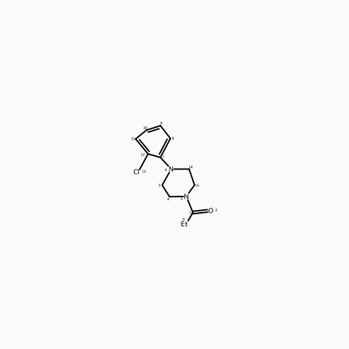 CCC(=O)N1CCN(c2ccccc2Cl)CC1